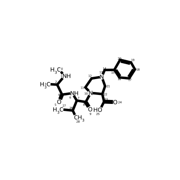 CNC(C)C(=O)NC(C(=O)N1CCN(Cc2ccccc2)CC1C(=O)O)C(C)C